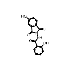 O=C(NN1C(=O)c2ccc(O)cc2C1=O)c1ccccc1O